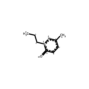 CCCn1nc(C)ccc1=O